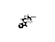 CN[C@@H](C)C(=O)N[C@H](C(=O)N1c2ncccc2C(C)C1C(=O)O)C(C)C